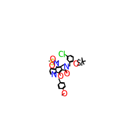 COc1ccc(COc2c3c(c(N(C)S(C)(=O)=O)c4cccnc24)CN(Cc2cc(Cl)ccc2O[Si](C)(C)C(C)(C)C)C3=O)cc1